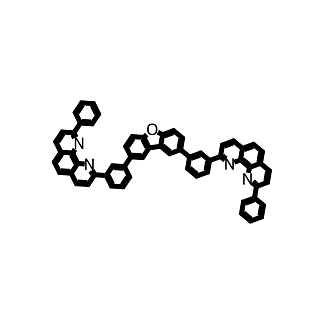 c1ccc(-c2ccc3ccc4ccc(-c5cccc(-c6ccc7oc8ccc(-c9cccc(-c%10ccc%11ccc%12ccc(-c%13ccccc%13)nc%12c%11n%10)c9)cc8c7c6)c5)nc4c3n2)cc1